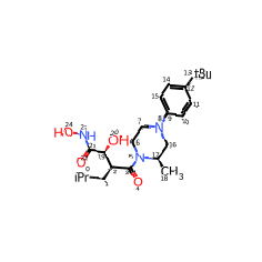 CC(C)C[C@H](C(=O)N1CCN(c2ccc(C(C)(C)C)cc2)C[C@H]1C)[C@H](O)C(=O)NO